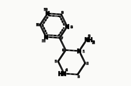 NN1CCNCC1c1ncncn1